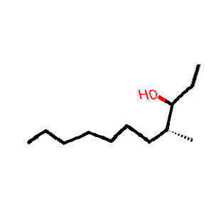 CCCCCCC[C@@H](C)C(O)CC